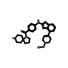 CCON1CC=C(c2cccn3nc(Nc4ccc(C(=O)N5CCCC56CCNCC6)cc4)nc23)CC1